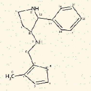 Cc1ccsc1CNC1CCNC1c1ccccc1